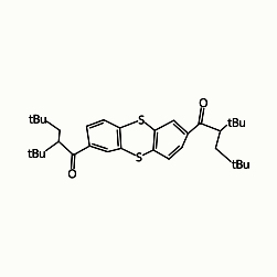 CC(C)(C)CC(C(=O)c1ccc2c(c1)Sc1ccc(C(=O)C(CC(C)(C)C)C(C)(C)C)cc1S2)C(C)(C)C